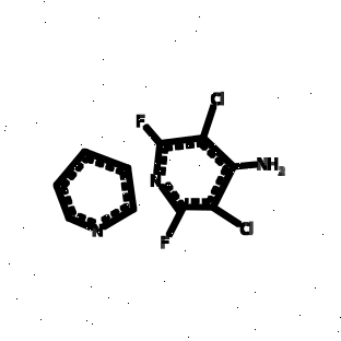 Nc1c(Cl)c(F)nc(F)c1Cl.c1ccncc1